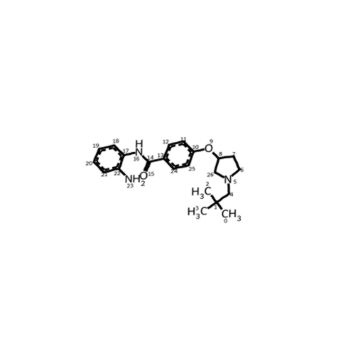 CC(C)(C)CN1CCC(Oc2ccc(C(=O)Nc3ccccc3N)cc2)C1